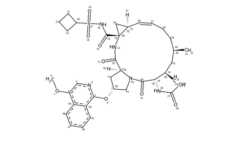 COc1cnc(O[C@@H]2C[C@H]3C(=O)N[C@]4(C(=O)NS(=O)(=O)C5CCC5)C[C@H]4C=CCC[C@@H](C)C[C@@H](C)[C@H](NC(=O)O)C(=O)N3C2)c2ccccc12